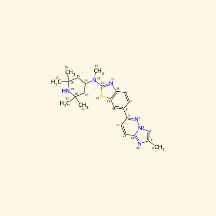 Cc1cn2nc(-c3ccc4nc(N(C)C5CC(C)(C)NC(C)(C)C5)sc4c3)ccc2n1